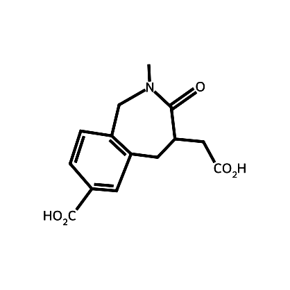 CN1Cc2ccc(C(=O)O)cc2CC(CC(=O)O)C1=O